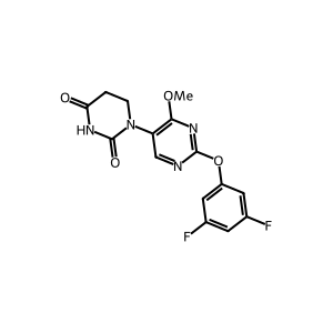 COc1nc(Oc2cc(F)cc(F)c2)ncc1N1CCC(=O)NC1=O